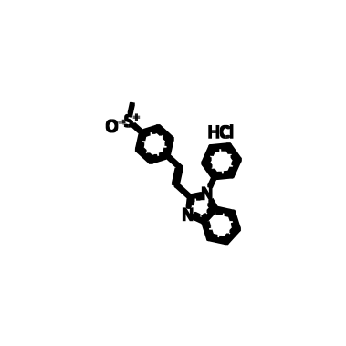 C[S+]([O-])c1ccc(C=Cc2nc3ccccc3n2-c2ccccc2)cc1.Cl